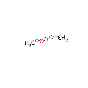 C=CCC[C@H]1CC[C@H]([C@H]2CC[C@H](OCC/C=C\CC)CC2)CC1